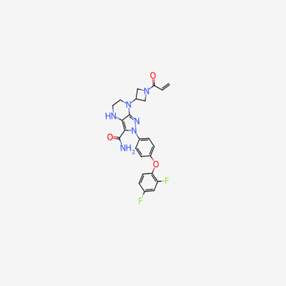 C=CC(=O)N1CC(N2CCNc3c2nn(-c2ccc(Oc4ccc(F)cc4F)cc2)c3C(N)=O)C1